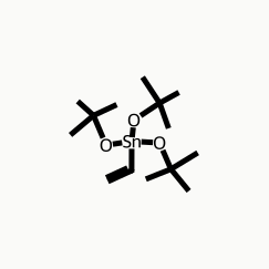 C=[CH][Sn]([O]C(C)(C)C)([O]C(C)(C)C)[O]C(C)(C)C